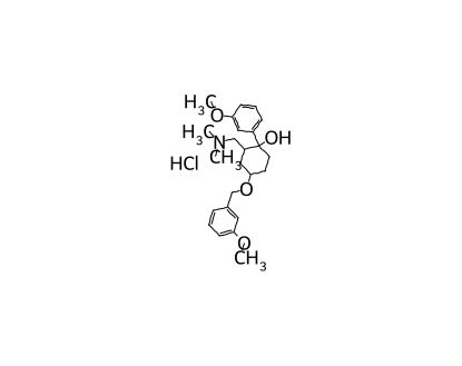 COc1cccc(COC2CCC(O)(c3cccc(OC)c3)C(CN(C)C)C2)c1.Cl